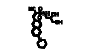 N#CC(=Cc1ccc2cc(N3CCCCC3)ccc2c1)S(=O)(=O)NCC(O)CO